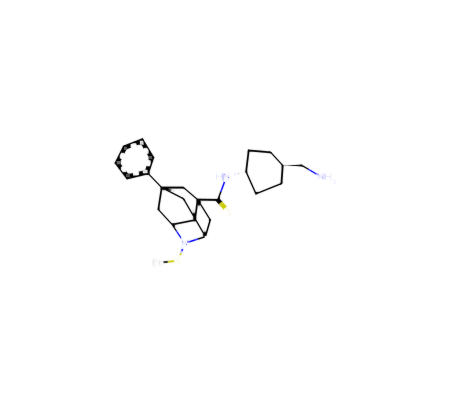 CCSN1C2CC3(C(=S)N[C@H]4CC[C@H](CN)CC4)CC1CC(c1ccccc1)(C2)C3